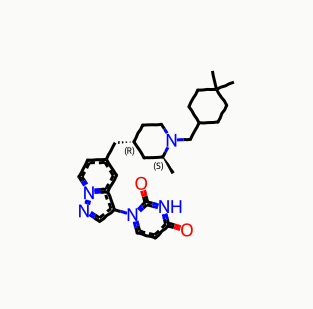 C[C@H]1C[C@H](Cc2ccn3ncc(-n4ccc(=O)[nH]c4=O)c3c2)CCN1CC1CCC(C)(C)CC1